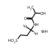 Br.[2H]C([2H])(CCS(=O)(=O)O)NC(=O)C(C)O